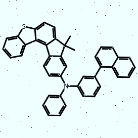 CC1(C)c2cc(N(c3ccccc3)c3cccc(-c4cccc5ccccc45)c3)ccc2-c2c1ccc1sc3ccccc3c21